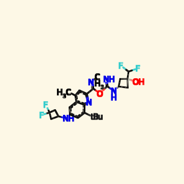 C/N=C(\OC(=N)N[C@H]1C[C@](O)(C(F)F)C1)c1cc(C)c2cc(NC3CC(F)(F)C3)cc(C(C)(C)C)c2n1